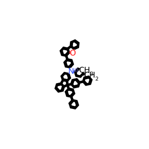 C=CCC/C(=C\C)N(C1=CC2=C(CC1)c1ccccc1C2(c1ccc(-c2ccccc2)cc1)c1ccc(-c2ccccc2)cc1)c1ccc(-c2cccc3c2oc2ccccc23)cc1